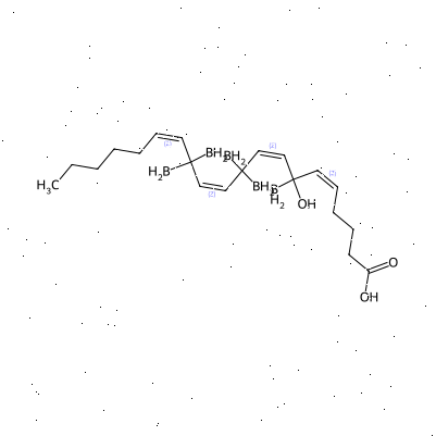 BC(B)(/C=C\CCCCC)/C=C\C(B)(B)/C=C\C(B)(O)/C=C\CCCC(=O)O